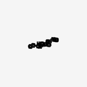 O[C@H](COc1cccc2c1OCC(CN1CCOCC1)=C2)CN1CCC(c2ccc3ccccc3c2)CC1